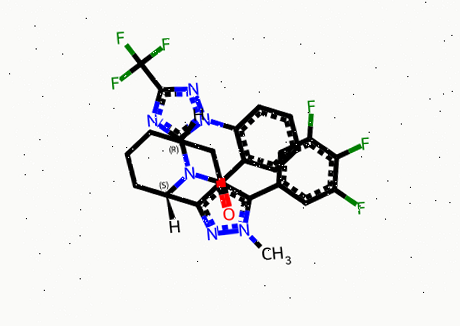 Cn1nc2c(c1-c1cc(F)c(F)c(F)c1)C[C@H]1CCC[C@@H]2N1C(=O)c1ccccc1-n1cnc(C(F)(F)F)n1